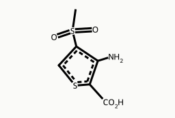 CS(=O)(=O)c1csc(C(=O)O)c1N